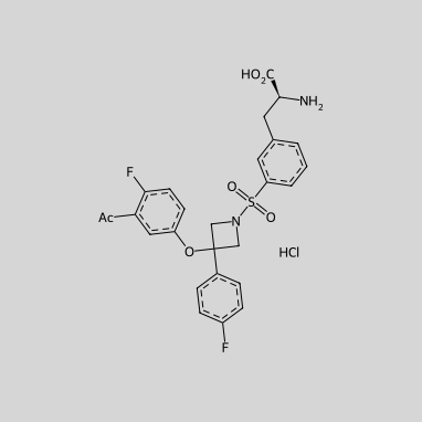 CC(=O)c1cc(OC2(c3ccc(F)cc3)CN(S(=O)(=O)c3cccc(C[C@H](N)C(=O)O)c3)C2)ccc1F.Cl